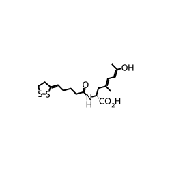 C/C(O)=C\C=C(/C)C[C@@H](NC(=O)CCC/C=C1/CCSS1)C(=O)O